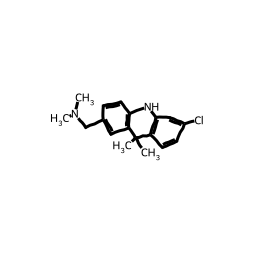 CN(C)Cc1ccc2c(c1)C(C)(C)c1ccc(Cl)cc1N2